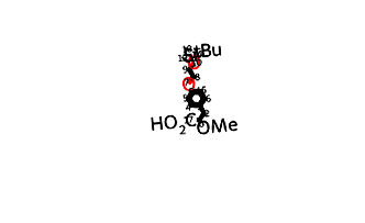 CO[C@@H](Cc1ccc(OCCO[Si](C)(C)C(C)(C)C)cc1)C(=O)O